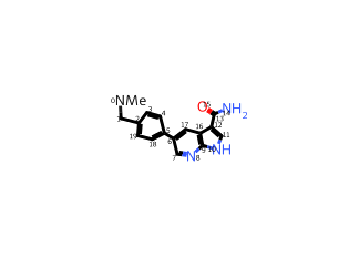 CNCc1ccc(-c2cnc3[nH]cc(C(N)=O)c3c2)cc1